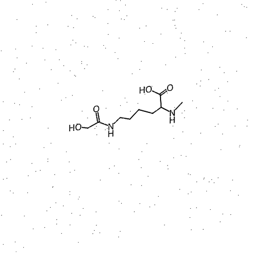 CNC(CCCCNC(=O)CO)C(=O)O